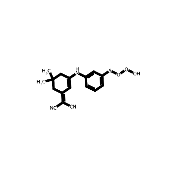 CC1(C)CC(Nc2cccc(SOOO)c2)=CC(=C(C#N)C#N)C1